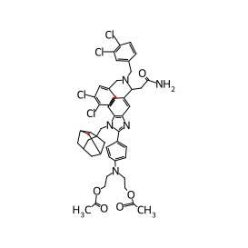 CC(=O)OCCN(CCOC(C)=O)c1ccc(-c2nc3cc(C(CC(N)=O)N(Cc4ccc(Cl)c(Cl)c4)Cc4ccc(Cl)c(Cl)c4)ccc3n2CC23CC4CC(CC(C4)C2)C3)cc1